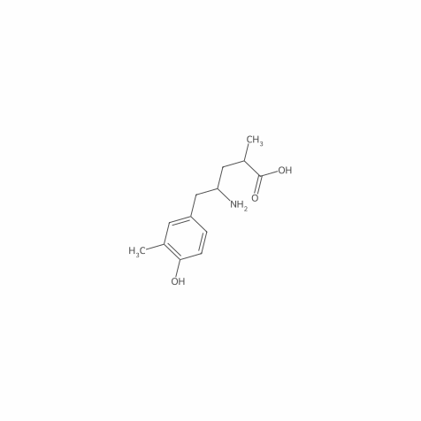 Cc1cc(CC(N)CC(C)C(=O)O)ccc1O